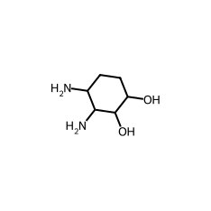 NC1CCC(O)C(O)C1N